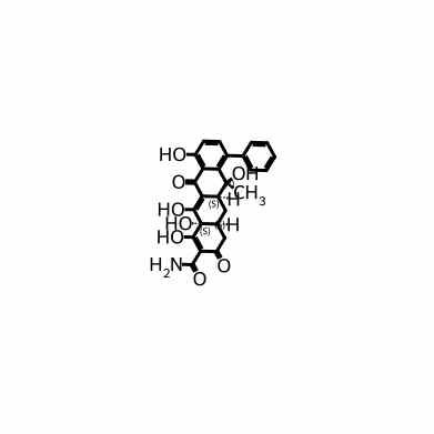 C[C@]1(O)c2c(-c3ccccc3)ccc(O)c2C(=O)C2=C(O)[C@]3(O)C(O)=C(C(N)=O)C(=O)C[C@@H]3C[C@@H]21